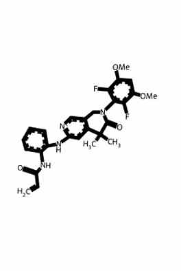 C=CC(=O)Nc1ccccc1Nc1cc2c(cn1)CN(c1c(F)c(OC)cc(OC)c1F)C(=O)C2(C)C